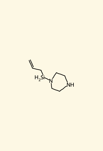 C=CC[SiH2]N1CCNCC1